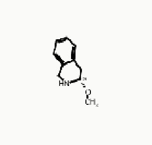 CO[C@H]1Cc2ccccc2CN1